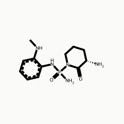 CNc1ccccc1NP(N)(=O)N1CCC[C@H](N)C1=O